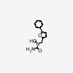 NC(=O)N(O)Cc1ccc(-c2ccccc2)o1